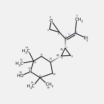 CC/C(C)=C(/C1CO1)[C@@H]1C[C@@H]1C1CC(C)(C)N(O)C(C)(C)C1